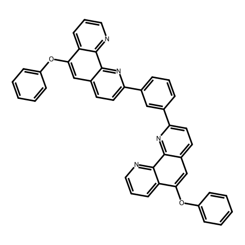 c1ccc(Oc2cc3ccc(-c4cccc(-c5ccc6cc(Oc7ccccc7)c7cccnc7c6n5)c4)nc3c3ncccc23)cc1